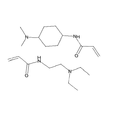 C=CC(=O)NC1CCC(N(C)C)CC1.C=CC(=O)NCCN(CC)CC